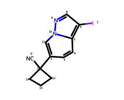 N#CC1(c2ccc3c(I)cnn3c2)CCC1